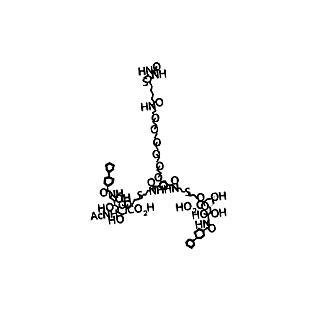 CC(=O)N[C@H]1[C@H]([C@H](O)[C@H](O)CNC(=O)c2ccc(-c3ccccc3)cc2)O[C@@](OCCCSCCNC(=O)c2ccc(C(=O)NCCSCCCO[C@]3(C(=O)O)C[C@H](O)C[C@H]([C@H](O)[C@H](O)CNC(=O)c4ccc(-c5ccccc5)cc4)O3)cc2OCCOCCOCCOCCOCCOCCNC(=O)CCCCC2SCC3NC(=O)NC32)(C(=O)O)C[C@@H]1O